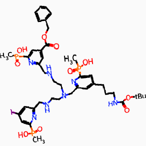 CC(C)(C)OC(=O)NCCCc1cc(CN(CCNCc2cc(I)cc(P(C)(=O)O)n2)CCNCc2cc(C(=O)OCc3ccccc3)cc(P(C)(=O)O)n2)nc(P(C)(=O)O)c1